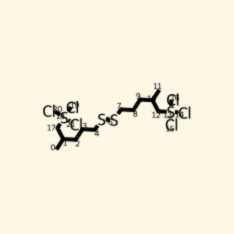 CC(CCCSSCCCC(C)CS(Cl)(Cl)Cl)CS(Cl)(Cl)Cl